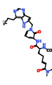 CN(C)C(=O)/C=C/CC[C@H](NC(=O)O)C(=O)Nc1cccn(Cc2cc3ncnc(CCC(F)(F)F)c3[nH]2)c1=O